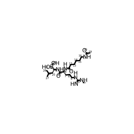 CNC(=N)NCCC[C@H](NC(=O)CCCCCNC(C)=O)C(=O)N[C@@H](CC(C)C)B(O)O